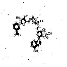 Nc1ncnc2c1ncn2C1O[C@H](COP(=O)(O)OP(=O)(O)OC[C@H]2O[C@@H]([n+]3cccc(C(=O)O)c3)[C@H](O)[C@@H]2O)[C@@H](O)[C@H]1OP(=O)(O)O